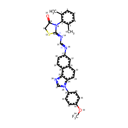 Cc1cccc(C)c1N1C(=O)CS/C1=N\C=N\c1ccc2c(ccc3c2ncn3-c2ccc(OC(F)(F)F)cc2)c1